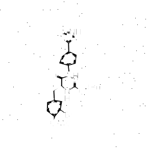 COc1ccc(C[C@H](NC(=O)OC(C)(C)C)C(=O)Nc2ccc(-c3nn[nH]n3)cc2)cc1Br